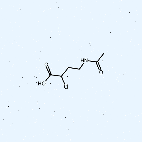 CC(=O)NCCC(Cl)C(=O)O